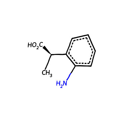 C[C@@H](C(=O)O)c1ccccc1N